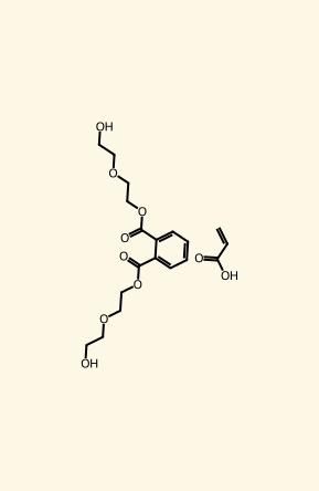 C=CC(=O)O.O=C(OCCOCCO)c1ccccc1C(=O)OCCOCCO